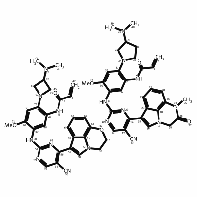 C=CC(=O)Nc1cc(Nc2ncc(C#N)c(-c3cn4c5c(cccc35)N(C)C(=O)C4)n2)c(OC)cc1N1CCC(N(C)C)C1.C=CC(=O)Nc1cc(Nc2ncc(C#N)c(-c3cn4c5c(cccc35)OCC4)n2)c(OC)cc1N1CC(N(C)C)C1